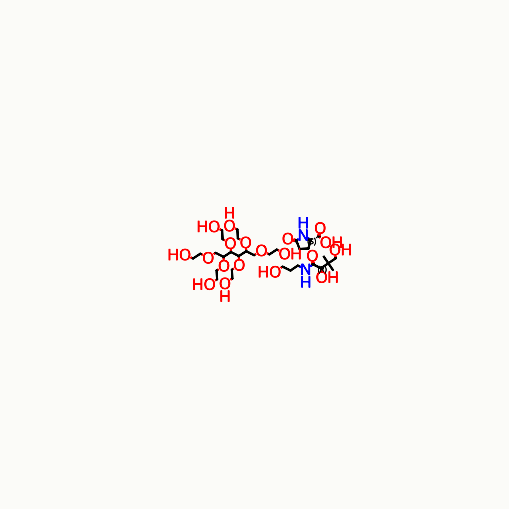 CC(C)(CO)[C@@H](O)C(=O)NCCCO.O=C1CC[C@@H](C(=O)O)N1.OCCOCC(OCCO)C(OCCO)C(OCCO)C(COCCO)OCCO